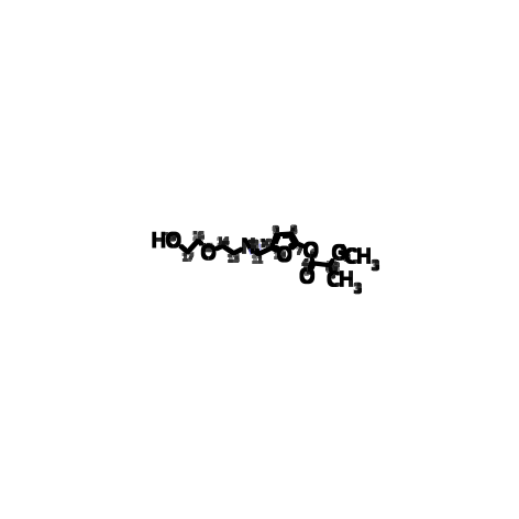 CO[C@@H](C)C(=O)Oc1ccc(/C=N/CCOCCO)o1